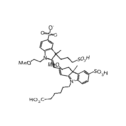 COCCN1/C(=C/C=C/C2=[N+](CCCCCC(=O)O)c3ccc(S(=O)(=O)O)cc3C2(C)CCOC)C(C)(CCCS(=O)(=O)O)c2cc(S(=O)(=O)[O-])ccc21